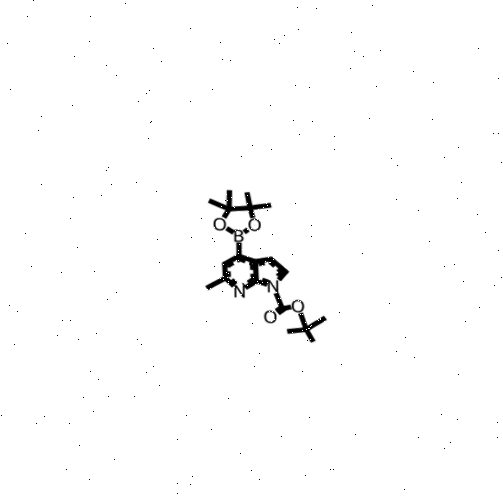 Cc1cc(B2OC(C)(C)C(C)(C)O2)c2ccn(C(=O)OC(C)(C)C)c2n1